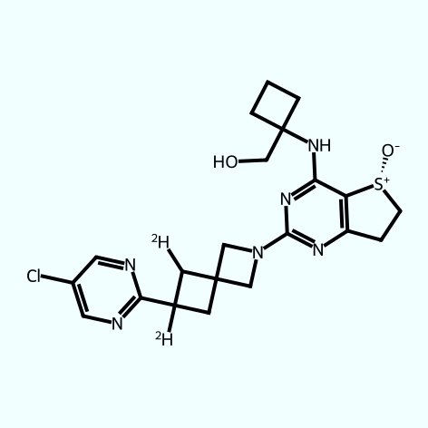 [2H]C1C2(CN(c3nc4c(c(NC5(CO)CCC5)n3)[S@+]([O-])CC4)C2)CC1([2H])c1ncc(Cl)cn1